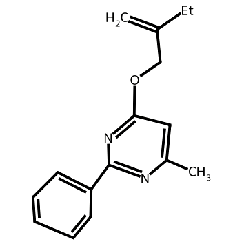 C=C(CC)COc1cc(C)nc(-c2ccccc2)n1